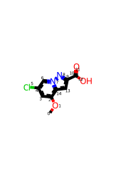 COc1cc(Cl)cn2nc(C(=O)O)cc12